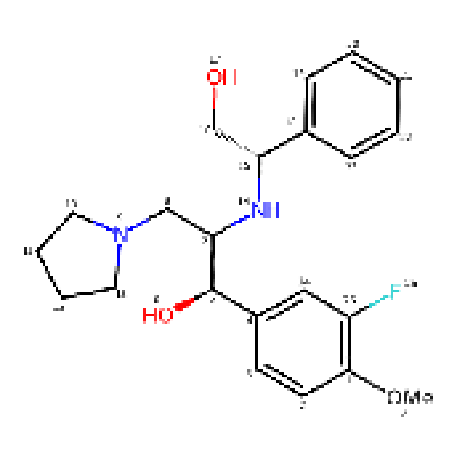 COc1ccc([C@@H](O)C(CN2CCCC2)N[C@H](CO)c2ccccc2)cc1F